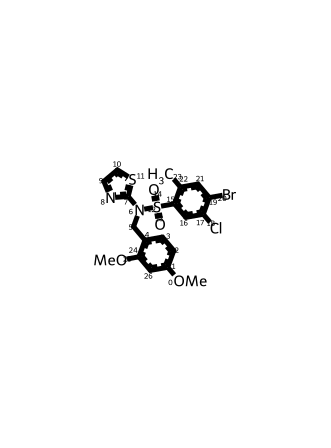 COc1ccc(CN(c2nccs2)S(=O)(=O)c2cc(Cl)c(Br)cc2C)c(OC)c1